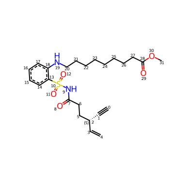 C#C[C@H](C=C)CCC(=O)NS(=O)(=O)c1ccccc1NCCCCCCCCC(=O)OC